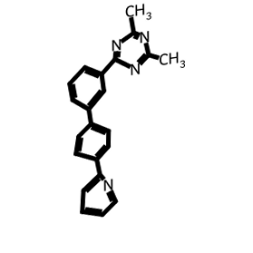 Cc1nc(C)nc(-c2cccc(-c3ccc(-c4ccccn4)cc3)c2)n1